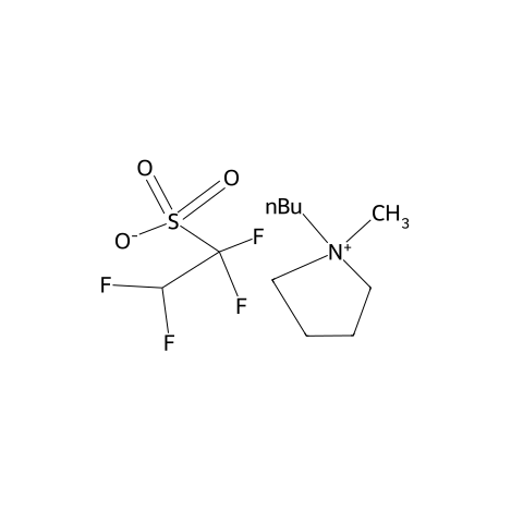 CCCC[N+]1(C)CCCC1.O=S(=O)([O-])C(F)(F)C(F)F